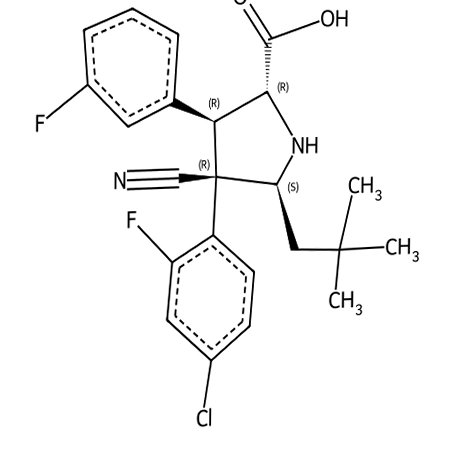 CC(C)(C)C[C@@H]1N[C@@H](C(=O)O)[C@H](c2cccc(F)c2)[C@@]1(C#N)c1ccc(Cl)cc1F